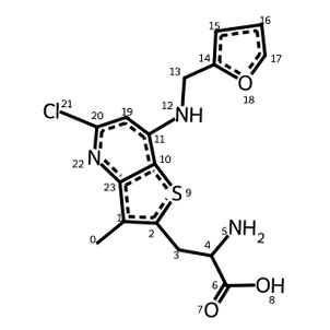 Cc1c(CC(N)C(=O)O)sc2c(NCc3ccco3)cc(Cl)nc12